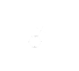 [CH3][Sn]([CH3])([CH3])[c]1ccccc1